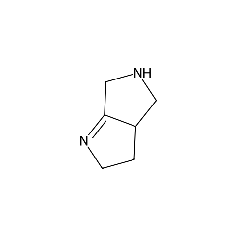 C1CC2CNCC2=N1